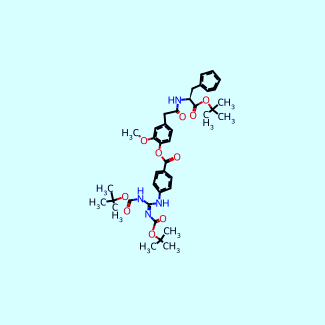 COc1cc(CC(=O)N[C@@H](Cc2ccccc2)C(=O)OC(C)(C)C)ccc1OC(=O)c1ccc(N/C(=N\C(=O)OC(C)(C)C)NC(=O)OC(C)(C)C)cc1